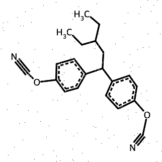 CCC(CC)CC(c1ccc(OC#N)cc1)c1ccc(OC#N)cc1